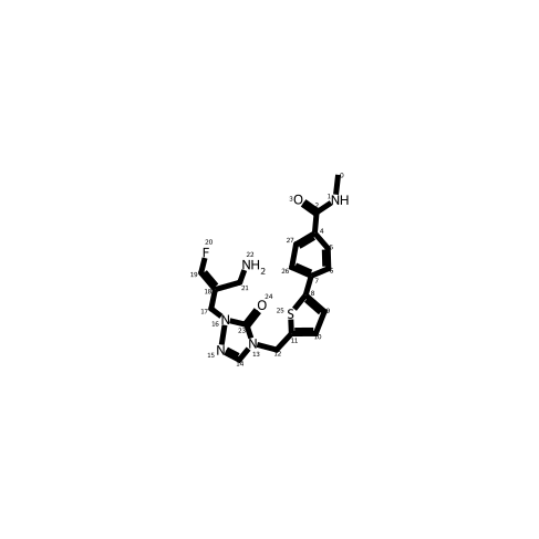 CNC(=O)c1ccc(-c2ccc(Cn3cnn(C/C(=C/F)CN)c3=O)s2)cc1